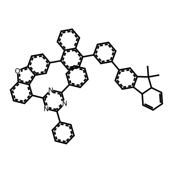 CC1(C)c2cc(-c3cccc(-c4ccc(-c5ccc6oc7cccc(-c8nc(-c9ccccc9)nc(-c9ccccc9)n8)c7c6c5)c5ccccc45)c3)ccc2C2C=CC=CC21